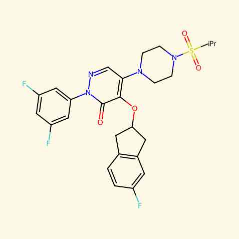 CC(C)S(=O)(=O)N1CCN(c2cnn(-c3cc(F)cc(F)c3)c(=O)c2OC2Cc3ccc(F)cc3C2)CC1